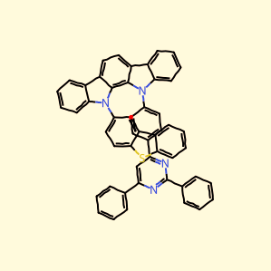 c1ccc(-c2cc(-c3ccc(-n4c5ccccc5c5ccc6c7ccccc7n(-c7ccc8sc9ccccc9c8c7)c6c54)cc3)nc(-c3ccccc3)n2)cc1